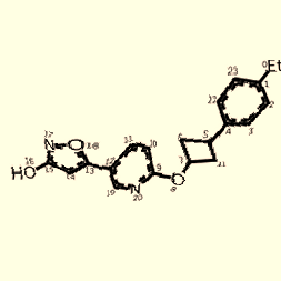 CCc1ccc(C2CC(Oc3ccc(-c4cc(O)no4)cn3)C2)cc1